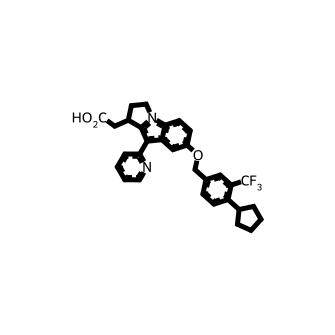 O=C(O)CC1CCn2c1c(-c1ccccn1)c1cc(OCc3ccc(C4CCCC4)c(C(F)(F)F)c3)ccc12